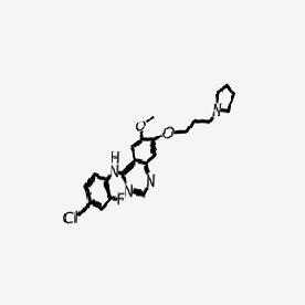 COc1cc2c(Nc3ccc(Cl)cc3F)ncnc2cc1OCCCN1CCCC1